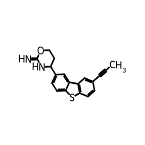 CC#Cc1ccc2sc3ccc(C4CCOC(=N)N4)cc3c2c1